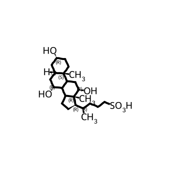 C[C@H](CCCS(=O)(=O)O)[C@H]1CCC2C3C(C[C@@H](O)[C@@]21C)[C@@]1(C)CC[C@@H](O)C[C@H]1C[C@H]3O